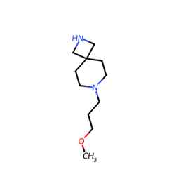 COCCCN1CCC2(CC1)CNC2